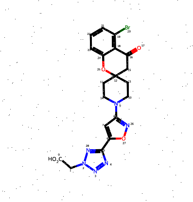 O=C(O)Cn1nnc(-c2cc(N3CCC4(CC3)CC(=O)c3c(Br)cccc3O4)no2)n1